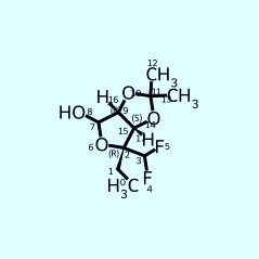 CC[C@@]1(C(F)F)OC(O)[C@@H]2OC(C)(C)O[C@@H]21